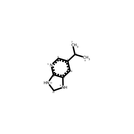 CC(C)c1cnc2c(c1)NCN2